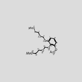 COCCOCOc1cccc(OOC(C)=O)c1OCOCCOC